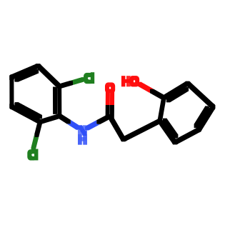 O=C(Cc1ccccc1O)Nc1c(Cl)cccc1Cl